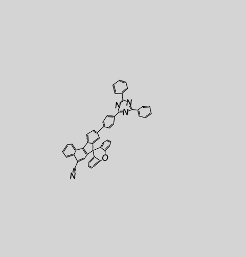 N#Cc1cc2c(c3ccccc13)-c1ccc(-c3ccc(-c4nc(-c5ccccc5)nc(-c5ccccc5)n4)cc3)cc1C21c2ccccc2Oc2ccccc21